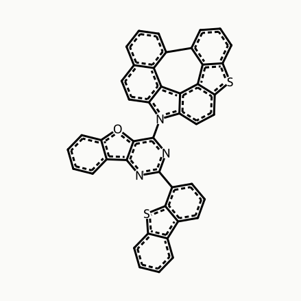 c1cc2c3c(c1)ccc1c3c3c4c(ccc3n1-c1nc(-c3cccc5c3sc3ccccc35)nc3c1oc1ccccc13)sc1cccc-2c14